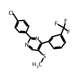 CSc1cnc(-c2ccc(Cl)cc2)nc1-c1cccc(C(F)(F)F)c1